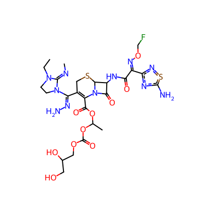 CCN1CCN(C(=NN)C2=C(C(=O)OC(C)OC(=O)OCC(O)CO)N3C(=O)C(NC(=O)C(=NOCF)c4nsc(N)n4)C3SC2)C1=NC